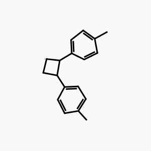 Cc1ccc(C2[CH]CC2c2ccc(C)cc2)cc1